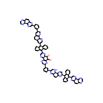 O=C1C(=O)c2nc(-c3c4ccccc4c(-c4cnc5c(ccc6cc(-c7cccc(-c8cnc9c(ccc%10nccnc%109)n8)c7)cnc65)c4)c4ccccc34)cnc2-c2ncc(-c3cccc(C4=CNC5C(=N4)C=Cc4nc(-c6c7ccccc7c(-c7cnc8c(ccc9nccnc98)n7)c7ccccc67)cnc45)c3)nc21